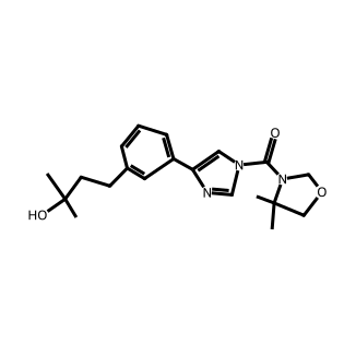 CC(C)(O)CCc1cccc(-c2cn(C(=O)N3COCC3(C)C)cn2)c1